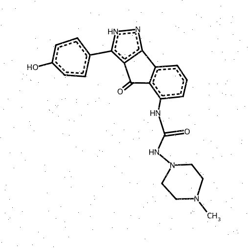 CN1CCN(NC(=O)Nc2cccc3c2C(=O)c2c-3n[nH]c2-c2ccc(O)cc2)CC1